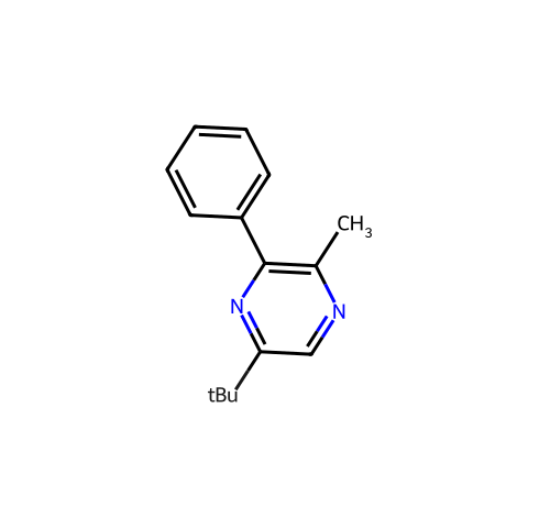 Cc1ncc(C(C)(C)C)nc1-c1ccccc1